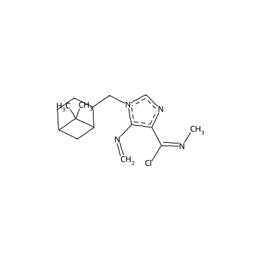 C=Nc1c(/C(Cl)=N\C)ncn1CC1CCC2CC1C2(C)C